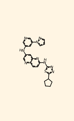 c1cnn(-c2cncc(Nc3cnc4ccc(Nc5nnc(C6CCCC6)s5)nc4c3)c2)c1